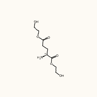 N[C@@H](CCC(=O)OCCO)C(=O)OCCO